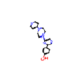 Oc1ccc(-c2cncc(N3CCN(c4ccncc4)CC3)n2)cc1